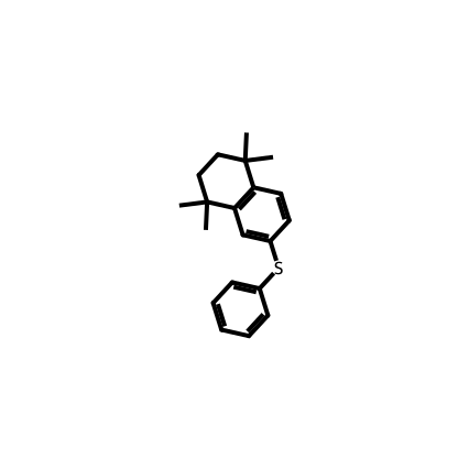 CC1(C)CCC(C)(C)c2cc(Sc3ccccc3)ccc21